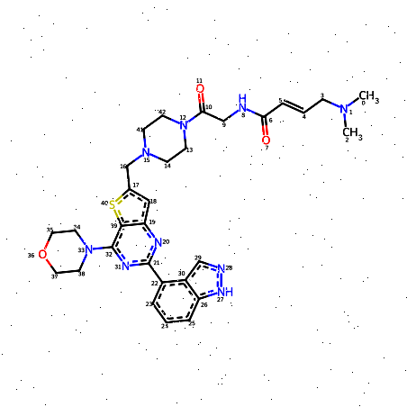 CN(C)CC=CC(=O)NCC(=O)N1CCN(Cc2cc3nc(-c4cccc5[nH]ncc45)nc(N4CCOCC4)c3s2)CC1